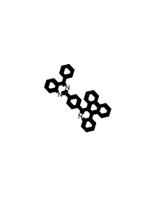 c1ccc(-c2nc(-c3ccc(-c4nc5ccccc5c5c6ccccc6c6ccccc6c45)cc3)nc3ccccc23)cc1